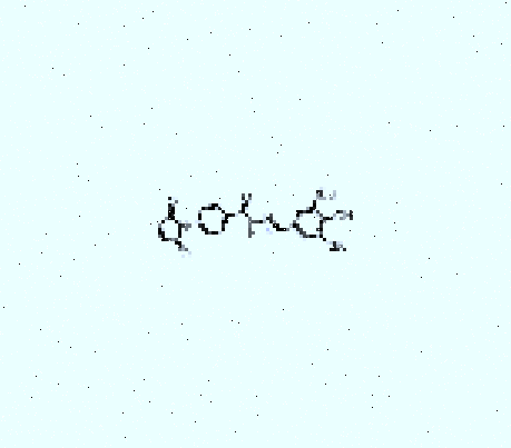 CC(C)(C)c1cc(/C=N/NC(=O)c2ccc(N3C(=O)C=CC3=O)cc2)cc(C(C)(C)C)c1O